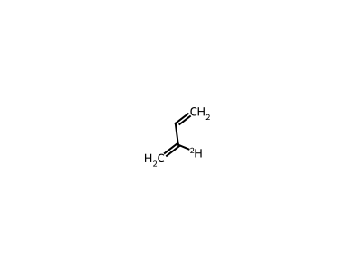 [2H]C(=C)C=C